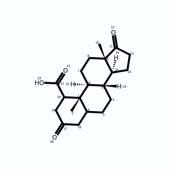 C[C@]12C(CC[C@@H]3[C@@H]1CC[C@]1(C)C(=O)CC[C@@H]31)CC(=O)CC2C(=O)O